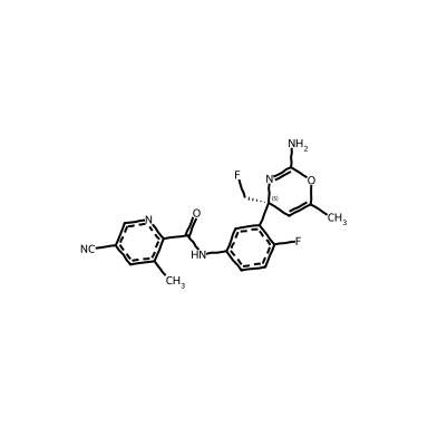 CC1=C[C@@](CF)(c2cc(NC(=O)c3ncc(C#N)cc3C)ccc2F)N=C(N)O1